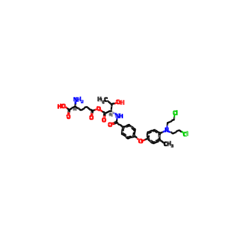 Cc1cc(Oc2ccc(C(=O)N[C@H](C(=O)OC(=O)CC[C@H](N)C(=O)O)C(C)O)cc2)ccc1N(CCCl)CCCl